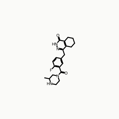 CC1CN(C(=O)c2cc(Cc3n[nH]c(=O)c4c3CCCC4)ccc2F)CCN1